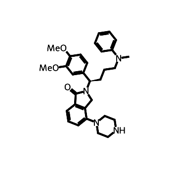 COc1ccc([C@@H](CCCN(C)c2ccccc2)N2Cc3c(cccc3N3CCNCC3)C2=O)cc1OC